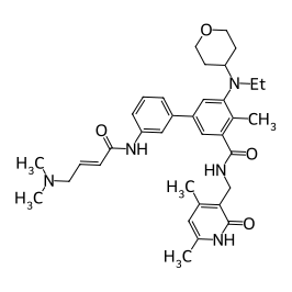 CCN(c1cc(-c2cccc(NC(=O)C=CCN(C)C)c2)cc(C(=O)NCc2c(C)cc(C)[nH]c2=O)c1C)C1CCOCC1